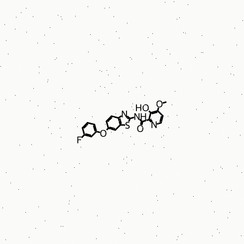 COc1ccnc(C(=O)Nc2nc3ccc(Oc4cccc(F)c4)cc3s2)c1O